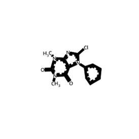 Cn1c(=O)c2c(nc(Cl)n2-c2ccccc2)n(C)c1=O